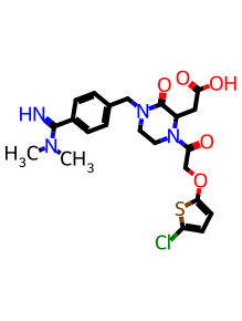 CN(C)C(=N)c1ccc(CN2CCN(C(=O)COc3ccc(Cl)s3)C(CC(=O)O)C2=O)cc1